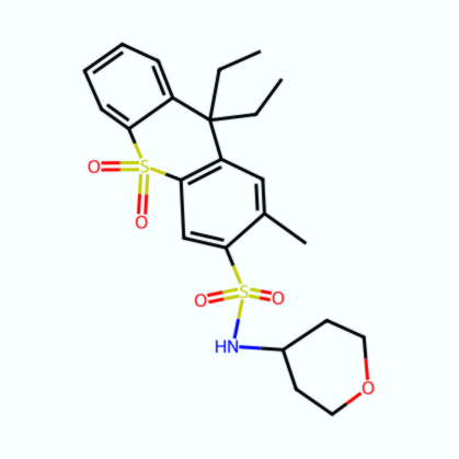 CCC1(CC)c2ccccc2S(=O)(=O)c2cc(S(=O)(=O)NC3CCOCC3)c(C)cc21